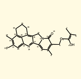 CC(C)=C(O)OCc1c(C)cc2n(c1=O)Cc1c-2nc2cc(F)c(C)c3c2c1CCC3